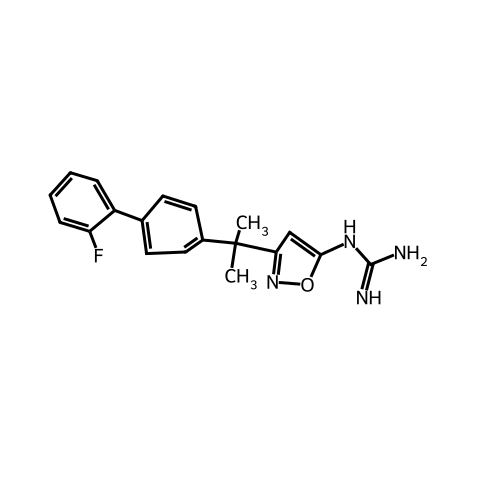 CC(C)(c1ccc(-c2ccccc2F)cc1)c1cc(NC(=N)N)on1